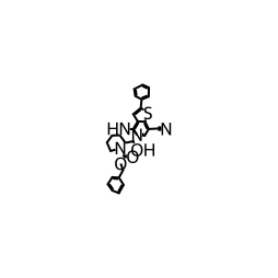 N#Cc1cnc(NC2CCCN(C(=O)OCc3ccccc3)C2CO)c2cc(-c3ccccc3)sc12